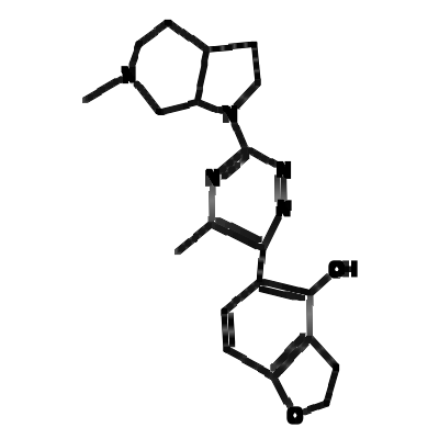 Cc1nc(N2CCC3CCN(C)CC32)nnc1-c1ccc2c(c1O)CCO2